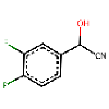 N#CC(O)c1ccc(F)c(F)c1